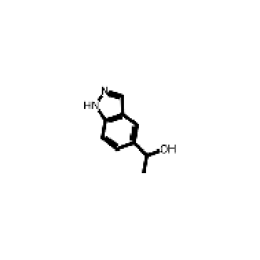 CC(O)c1ccc2[nH]ncc2c1